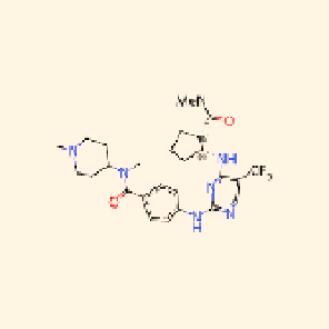 CNC(=O)[C@H]1CCC[C@H]1Nc1nc(Nc2ccc(C(=O)N(C)C3CCN(C)CC3)cc2)ncc1C(F)(F)F